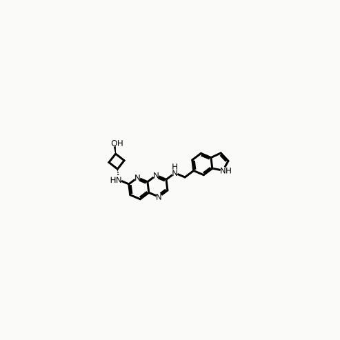 O[C@H]1C[C@H](Nc2ccc3ncc(NCc4ccc5cc[nH]c5c4)nc3n2)C1